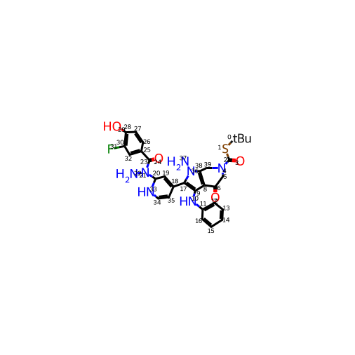 CC(C)(C)SC(=O)N1CC(=O)c2c(Nc3ccccc3)c(C3=CC(N(N)C(=O)c4ccc(O)c(F)c4)NC=C3)n(N)c2C1